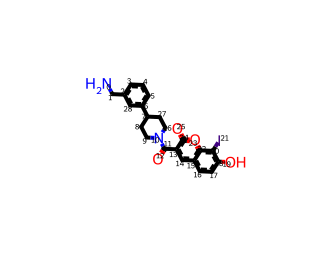 NCc1cccc(C2CCN(C(=O)c3cc4ccc(O)c(I)c4oc3=O)CC2)c1